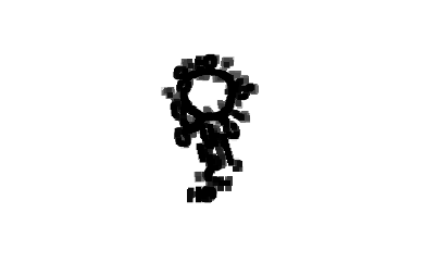 CO[C@]1(C)C[C@@H](C)C(=O)[C@H](C)[C@H]2[C@H](/C(N)=N/OCPO)C(=O)O[C@@]2(C)[C@H](C)OC(=O)[C@@](C)(F)C(=O)[C@H](C)C1